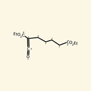 CCOC(=O)CCCCC(=C=O)C(=O)OCC